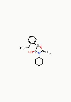 C=Cc1ccccc1[C@H]1OC(=C)N(C2CCCCC2)[C@H]1O